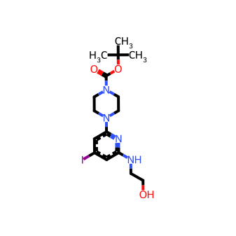 CC(C)(C)OC(=O)N1CCN(c2cc(I)cc(NCCO)n2)CC1